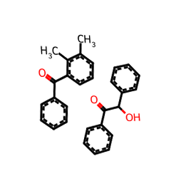 Cc1cccc(C(=O)c2ccccc2)c1C.O=C(c1ccccc1)C(O)c1ccccc1